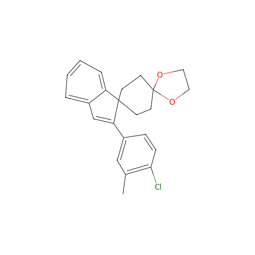 Cc1cc(C2=Cc3ccccc3C23CCC2(CC3)OCCO2)ccc1Cl